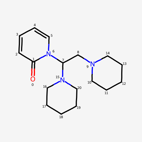 O=c1ccccn1C(CN1CCCCC1)N1CCCCC1